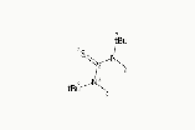 CN(C(=S)N(C)C(C)(C)C)C(C)(C)C